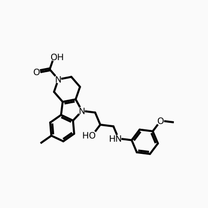 COc1cccc(NCC(O)Cn2c3c(c4cc(C)ccc42)CN(C(=O)O)CC3)c1